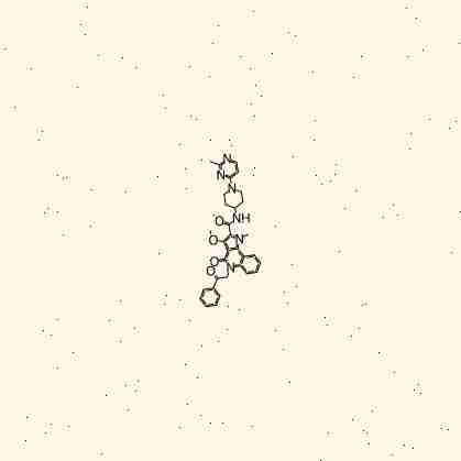 COc1c(C(=O)NC2CCN(c3ccnc(C)n3)CC2)n(C)c2c1c(=O)n(CC(=O)c1ccccc1)c1ccccc21